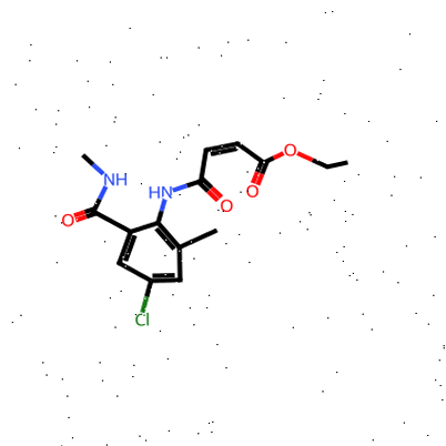 CCOC(=O)/C=C\C(=O)Nc1c(C)cc(Cl)cc1C(=O)NC